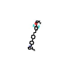 C/C=C/C1CCC(C2CCC(CCc3cc(F)c(COC)c(F)c3)CC2)CC1